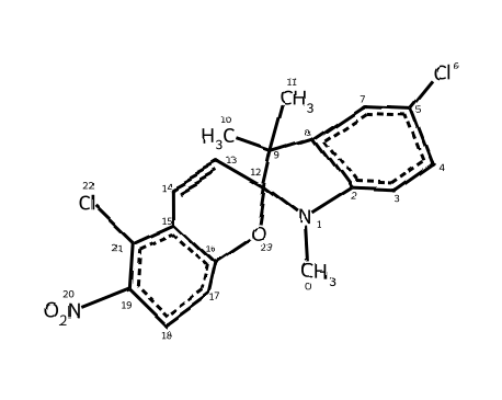 CN1c2ccc(Cl)cc2C(C)(C)C12C=Cc1c(ccc([N+](=O)[O-])c1Cl)O2